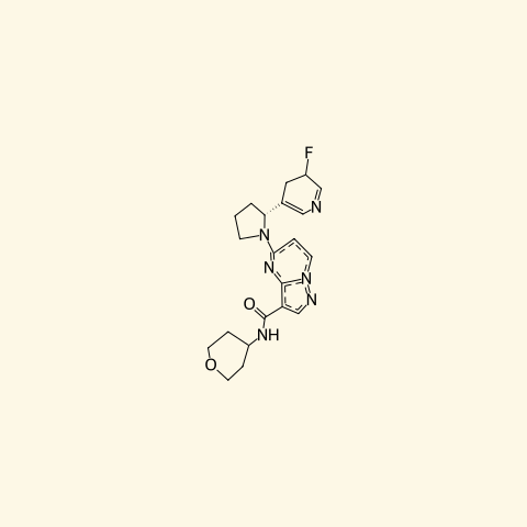 O=C(NC1CCOCC1)c1cnn2ccc(N3CCC[C@@H]3C3=CN=CC(F)C3)nc12